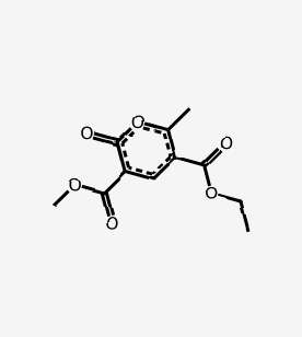 CCOC(=O)c1cc(C(=O)OC)c(=O)oc1C